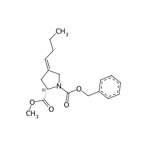 CCCC=C1C[C@@H](C(=O)OC)N(C(=O)OCc2ccccc2)C1